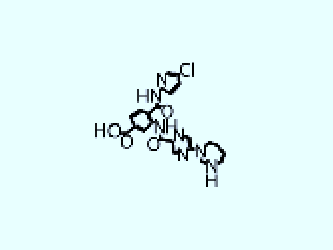 O=C(O)c1ccc(C(=O)Nc2ccc(Cl)cn2)c(NC(=O)c2cnc(N3CCCCNC3)cn2)c1